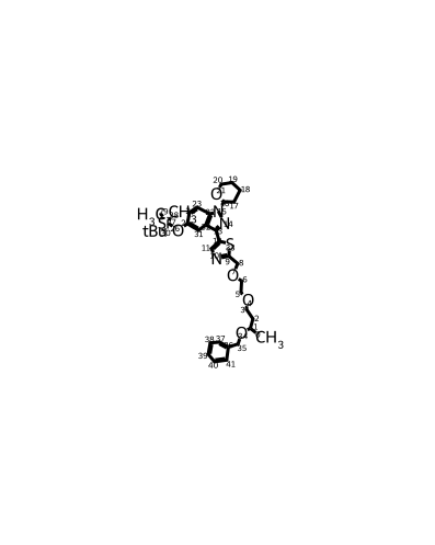 CC(CCOCCOCc1ncc(-c2nn(C3CCCCO3)c3ccc(O[Si](C)(C)C(C)(C)C)cc23)s1)OCc1ccccc1